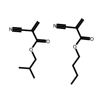 C=C(C#N)C(=O)OCC(C)C.C=C(C#N)C(=O)OCCCC